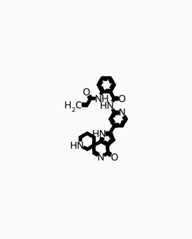 C=CC(=O)Nc1ccccc1C(=O)Nc1cc(-c2cc3c([nH]2)C2(C=NC3=O)CCCNC2)ccn1